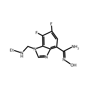 CCNCn1cnc2c(C(N)=NO)cc(F)c(F)c21